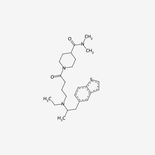 CCN(CCCC(=O)N1CCC(C(=O)N(C)C)CC1)C(C)Cc1ccc2sccc2c1